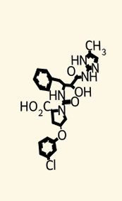 Cc1cnc(NC(=O)C(O)C(Cc2ccccc2)NC(=O)N2C[C@H](Oc3cccc(Cl)c3)C[C@H]2C(=O)O)[nH]1